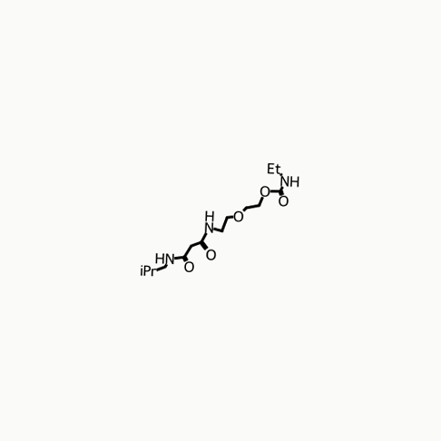 CCNC(=O)OCCOCCNC(=O)CC(=O)NCC(C)C